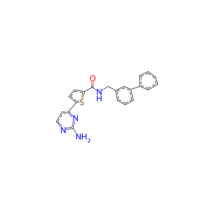 Nc1nccc(-c2ccc(C(=O)NCc3cccc(-c4ccccc4)c3)s2)n1